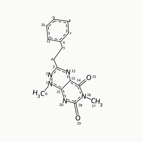 Cn1nc(CCc2ccccc2)nc2c(=O)n(C)c(=O)nc1-2